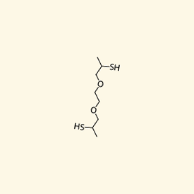 CC(S)COCCOCC(C)S